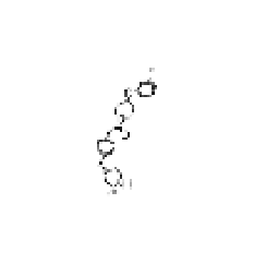 C[C@@H]1CN(Cc2ccc(CC(=O)N3CCC(Oc4cccc(F)c4)CC3)cc2)CCN1